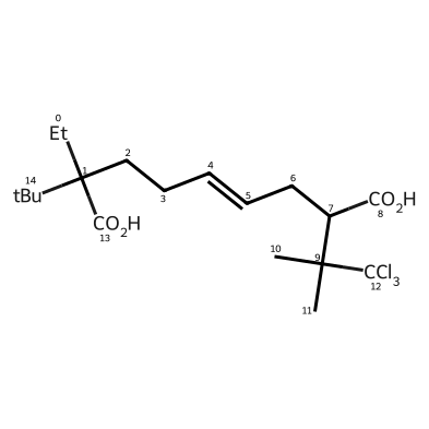 CCC(CCC=CCC(C(=O)O)C(C)(C)C(Cl)(Cl)Cl)(C(=O)O)C(C)(C)C